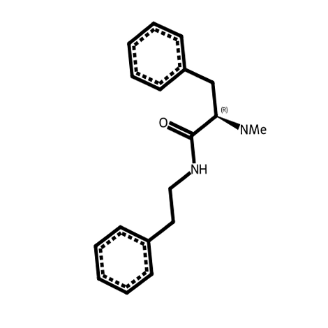 CN[C@H](Cc1ccccc1)C(=O)NCCc1ccccc1